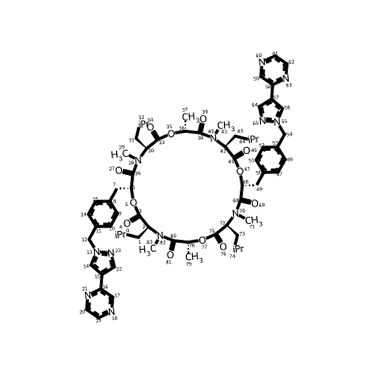 CC(C)C[C@H]1C(=O)O[C@H](Cc2ccc(Cn3cc(-c4cnccn4)cn3)cc2)C(=O)N(C)[C@@H](CC(C)C)C(=O)O[C@H](C)C(=O)N(C)[C@@H](CC(C)C)C(=O)O[C@H](Cc2ccc(Cn3cc(-c4cnccn4)cn3)cc2)C(=O)N(C)[C@@H](CC(C)C)C(=O)O[C@H](C)C(=O)N1C